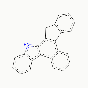 c1ccc2c(c1)Cc1c-2c2ccccc2c2c1[nH]c1ccccc12